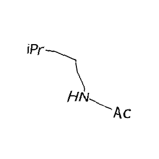 CC(=O)NCC(C)C